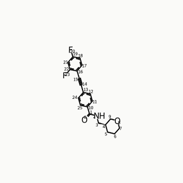 O=C(NC[C@@H]1CCCOC1)c1ccc(C#Cc2ccc(F)cc2F)cc1